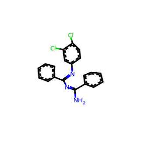 N/C(=N/C(=N/c1ccc(Cl)c(Cl)c1)c1ccccc1)c1ccccc1